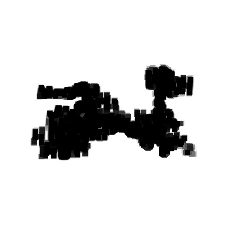 CC[C@H](C)C([C@@H](CC(=O)N1C[C@@H](NC(=O)OCc2ccc(NC(=O)C(CCCNC(N)=O)NC(=O)[C@@H](NC(=O)CCCCCN3C(=O)C=CC3O)C(C)C)cc2)C[C@H]1[C@H](OC)[C@@H](C)C(=O)NCC(=O)c1cccc(OC)c1)OC)N(C)C(=O)[C@@H](NC(=O)[C@H](C(C)C)N(C)C)C(C)C